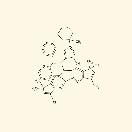 CC1=CC(C)(C)c2cc3c(cc21)-c1cc2c(cc1[CH]3[Zr]([C]1=CC(C3(C)CCCCC3)=CC1C)=[C](c1ccccc1)c1ccccc1)C(C)(C)C=C2C